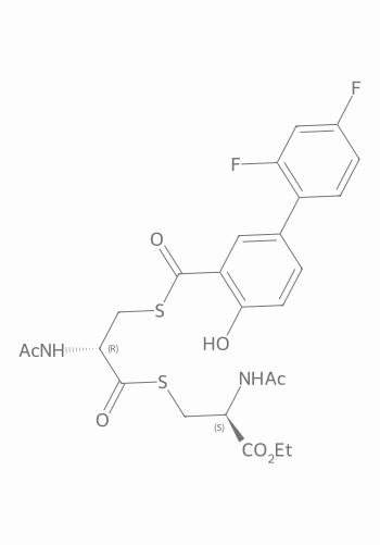 CCOC(=O)[C@@H](CSC(=O)[C@@H](CSC(=O)c1cc(-c2ccc(F)cc2F)ccc1O)NC(C)=O)NC(C)=O